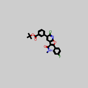 CNC(=O)c1c(-c2ccc(F)cc2)oc2nc(Cl)c(-c3cccc(C(=O)OC(C)(C)C)c3)cc12